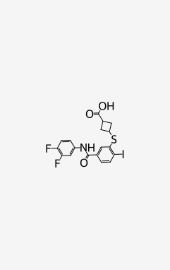 O=C(Nc1ccc(F)c(F)c1)c1ccc(I)c(SC2CC(C(=O)O)C2)c1